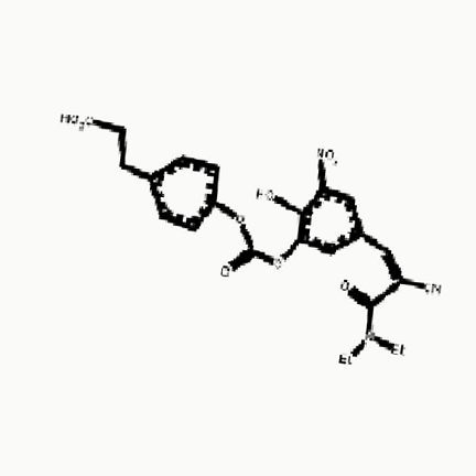 CCN(CC)C(=O)C(C#N)=Cc1cc(OC(=O)Oc2ccc(CCC(=O)O)cc2)c(O)c([N+](=O)[O-])c1